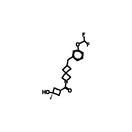 C[C@]1(O)C[C@@H](C(=O)N2CC3(CC(Cc4cccc(OC(F)F)c4)C3)C2)C1